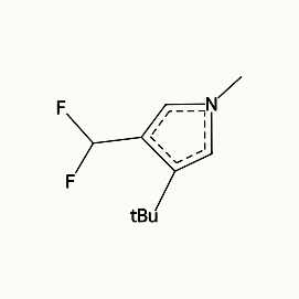 Cn1cc(C(F)F)c(C(C)(C)C)c1